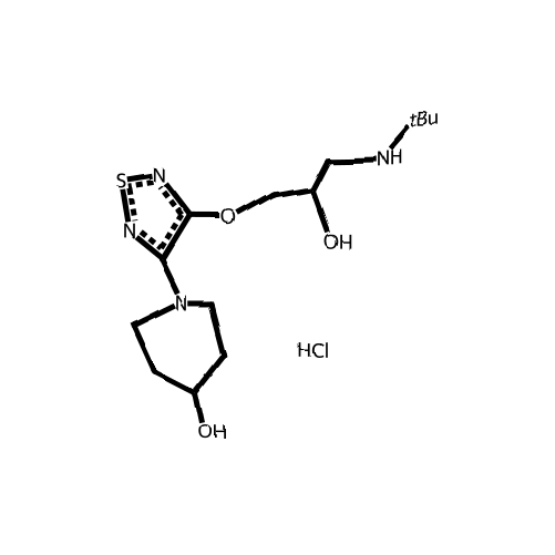 CC(C)(C)NCC(O)COc1nsnc1N1CCC(O)CC1.Cl